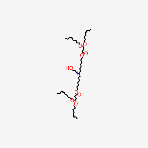 CC/C=C\CCCCOC(CCC(=O)OCCCCCCCN(CCCO)CCCCCCCOC(=O)CCC(OCCCC/C=C\CC)OCCCC/C=C\CC)OCCCC/C=C\CC